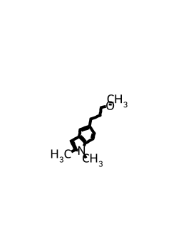 COCCCc1ccc2c(c1)cc(C)n2C